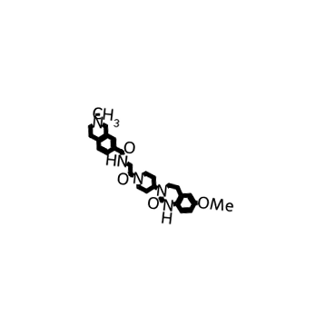 COc1ccc2c(c1)CCN(C1CCN(C(=O)CNC(=O)c3ccc4c(c3)CN(C)CC4)CC1)C(=O)N2